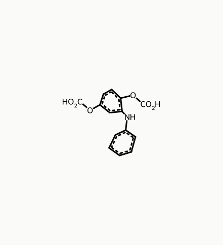 O=C(O)Oc1ccc(OC(=O)O)c(Nc2ccccc2)c1